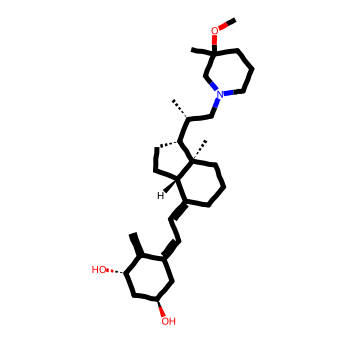 C=C1/C(=C\C=C2/CCC[C@]3(C)[C@@H]([C@H](C)CN4CCCC(C)(OC)C4)CC[C@@H]23)C[C@@H](O)C[C@@H]1O